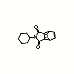 O=C1C2C3C=CC(O3)C2C(=O)N1C1CCCCC1